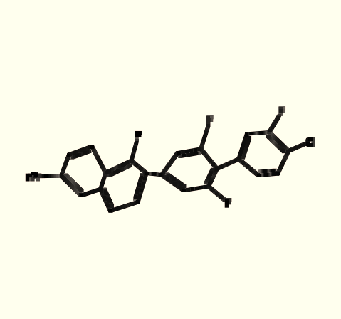 CCCc1ccc2c(F)c(-c3cc(F)c(-c4ccc(Cl)c(F)c4)c(F)c3)ccc2c1